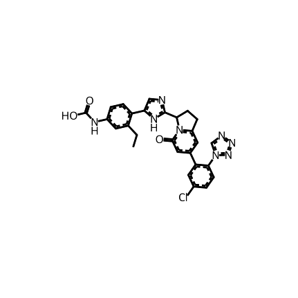 CCc1cc(NC(=O)O)ccc1-c1cnc(C2CCc3cc(-c4cc(Cl)ccc4-n4cnnn4)cc(=O)n32)[nH]1